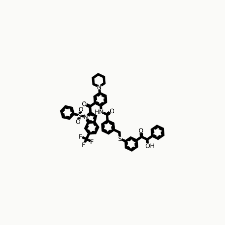 O=C(Nc1ccc(N2CCCCC2)cc1C(=O)c1cc2ccc(C(F)(F)F)cc2n1S(=O)(=O)c1ccccc1)c1cccc(CSc2cccc(C(=O)C(O)c3ccccc3)c2)c1